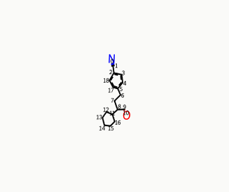 N#Cc1ccc(CCC(C=O)C2CCCCC2)cc1